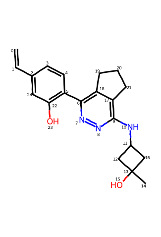 C=Cc1ccc(-c2nnc(NC3CC(C)(O)C3)c3c2CCC3)c(O)c1